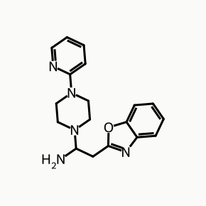 NC(Cc1nc2ccccc2o1)N1CCN(c2ccccn2)CC1